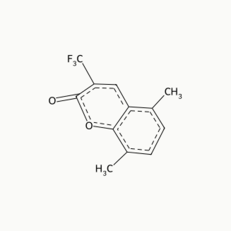 Cc1ccc(C)c2oc(=O)c(C(F)(F)F)cc12